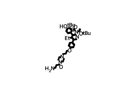 C=C(OC(C)(C)C)N(C(=O)OC(C)(C)C)c1ncc(-c2ccc(OCCCN3CCN(C(=O)CCN)CC3)cc2)c(CC)c1-c1ccc(O)cc1